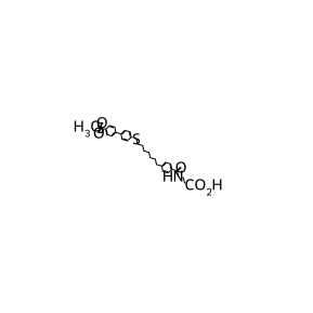 CS(=O)(=O)c1ccc(-c2ccc(SCCCCCCCc3ccc(C(=O)NCCC(=O)O)cc3)cc2)cc1